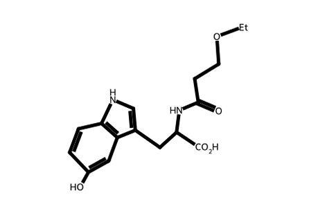 CCOCCC(=O)NC(Cc1c[nH]c2ccc(O)cc12)C(=O)O